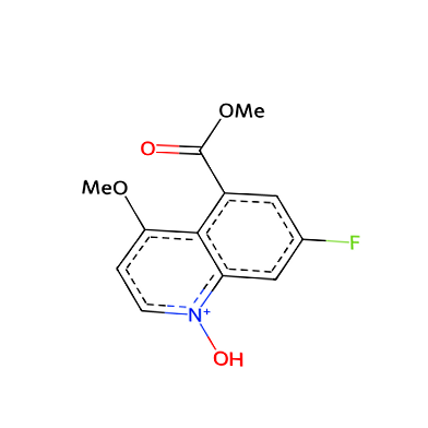 COC(=O)c1cc(F)cc2c1c(OC)cc[n+]2O